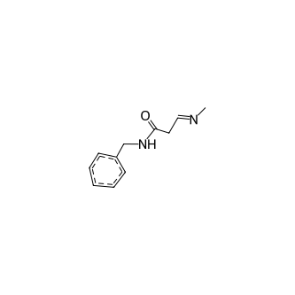 C/N=C/CC(=O)NCc1ccccc1